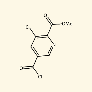 COC(=O)c1ncc(C(=O)Cl)cc1Cl